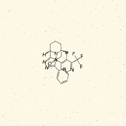 O=C(c1ccnc(C(F)(F)F)c1F)N1[C@@H]2CCC[C@H]1c1nnc(-c3ccccn3)n1C2